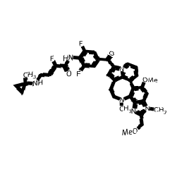 COCc1nc2c3c(c(OC)cc2n1C)-c1cccn2c(C(=O)c4cc(F)c(NC(=O)/C(F)=C/CNC5(C)CC5)c(F)c4)cc(c12)CCN3C